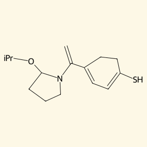 C=C(C1=CC=C(S)CC1)N1CCCC1OC(C)C